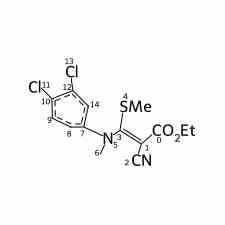 CCOC(=O)/C(C#N)=C(\SC)N(C)c1ccc(Cl)c(Cl)c1